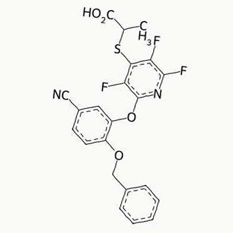 CC(Sc1c(F)c(F)nc(Oc2cc(C#N)ccc2OCc2ccccc2)c1F)C(=O)O